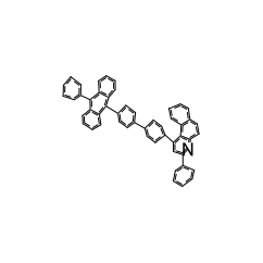 c1ccc(-c2cc(-c3ccc(-c4ccc(-c5c6ccccc6c(-c6ccccc6)c6ccccc56)cc4)cc3)c3c(ccc4ccccc43)n2)cc1